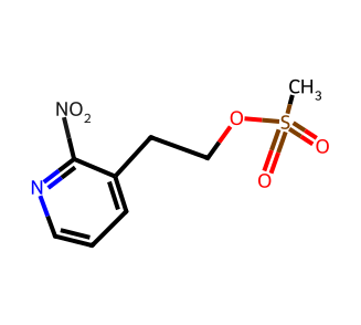 CS(=O)(=O)OCCc1cccnc1[N+](=O)[O-]